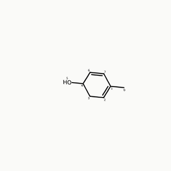 CC1=CC[C](O)C=C1